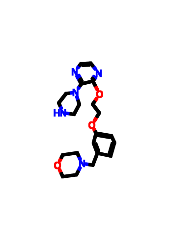 c1cc(CN2CCOCC2)cc(OCCOc2nccnc2N2CCNCC2)c1